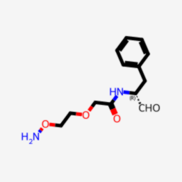 NOCCOCC(=O)N[C@@H](C=O)Cc1ccccc1